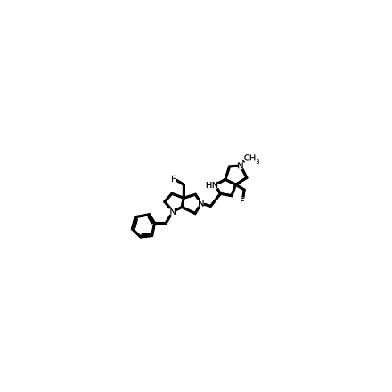 CN1CC2NC(CN3CC4N(Cc5ccccc5)CCC4(CF)C3)CC2(CF)C1